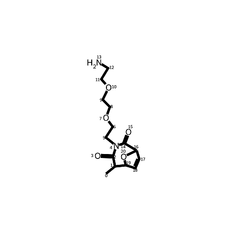 CC1C(=O)N(CCOCCOCCN)C(=O)C2C=CC1O2